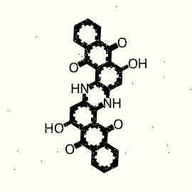 O=c1c2ccccc2c(=O)c2c1c(O)cc1[nH]c3c(cc(O)c4c(=O)c5ccccc5c(=O)c43)[nH]c12